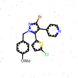 COc1ccc(Cn2nc(Br)c(-c3ccncc3)c2-c2ccc(Cl)s2)cc1